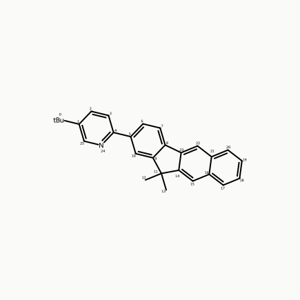 CC(C)(C)c1ccc(-c2ccc3c(c2)C(C)(C)c2cc4ccccc4cc2-3)nc1